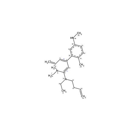 C=C/C=C(\C=C(/N(C)C)N(CC)CCC=C)c1cc(NC)ccc1C